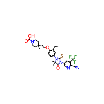 CCc1cc(N2C(=S)N(c3cnc(C#N)c(C(F)(F)F)c3)C(=O)C2(C)C)ccc1OCCC1(C)CCN(C(=O)O)CC1